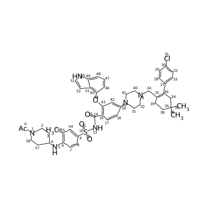 CC(=O)N1CCC(Nc2ccc(S(=O)(=O)NC(=O)c3ccc(N4CCN(CC5=C(c6ccc(Cl)cc6)CC(C)(C)CC5)CC4)cc3Oc3cccc4[nH]ccc34)cc2C)CC1